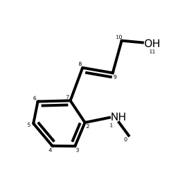 CNc1ccccc1/C=C/CO